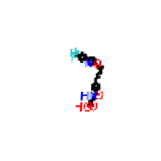 CC(CCCCc1ccc(C(=O)NCCC(=O)O)cc1)COc1ccc(-c2ccc(C(F)(F)F)cc2)nc1